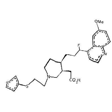 COc1ccc2nccc(C(F)CC[C@@H]3CCN(CCSc4ccsc4)C[C@@H]3CC(=O)O)c2c1